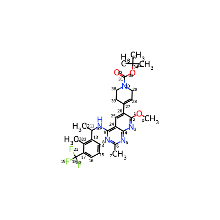 COc1nc2nc(C)nc(N[C@H](C)c3cccc(C(F)(F)F)c3C)c2cc1C1=CCN(C(=O)OC(C)(C)C)CC1